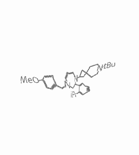 COc1ccc(CN2CCCN(C3CC4(CCN(C(C)(C)C)CC4)C3)C(c3ccccc3C(C)C)C2)cc1